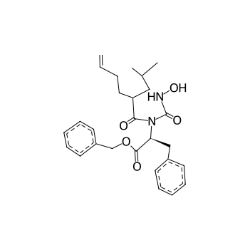 C=CCCC(CC(C)C)C(=O)N(C(=O)NO)[C@@H](Cc1ccccc1)C(=O)OCc1ccccc1